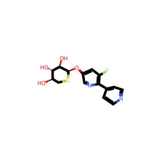 O[C@@H]1[C@@H](O)[C@@H](Oc2cnc(-c3ccncc3)c(F)c2)SC[C@H]1O